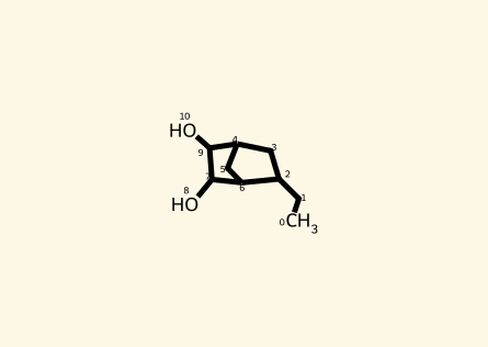 CCC1CC2CC1C(O)C2O